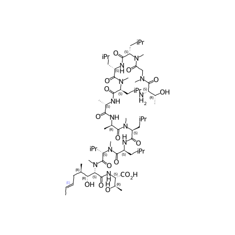 C/C=C/C[C@@H](C)[C@@H](O)[C@@H](C(=O)N[C@H](C(=O)O)[C@@H](C)O)N(C)C(=O)[C@H](C(C)C)N(C)C(=O)[C@H](CC(C)C)NC(=O)[C@H](CC(C)C)N(C)C(=O)[C@@H](C)NC(=O)[C@H](C)NC(=O)[C@H](CC(C)C)N(C)C(=O)[C@H](CC(C)C)NC(=O)[C@H](CC(C)C)N(C)C(=O)CN(C)C(=O)[C@@H](N)[C@@H](C)O